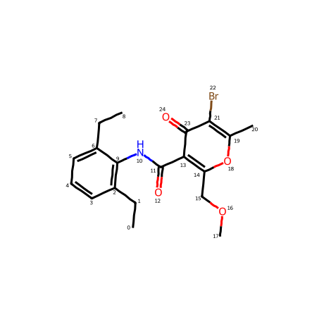 CCc1cccc(CC)c1NC(=O)c1c(COC)oc(C)c(Br)c1=O